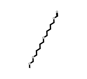 [CH2]OCOCCCCCOCCCCCO[C]=O